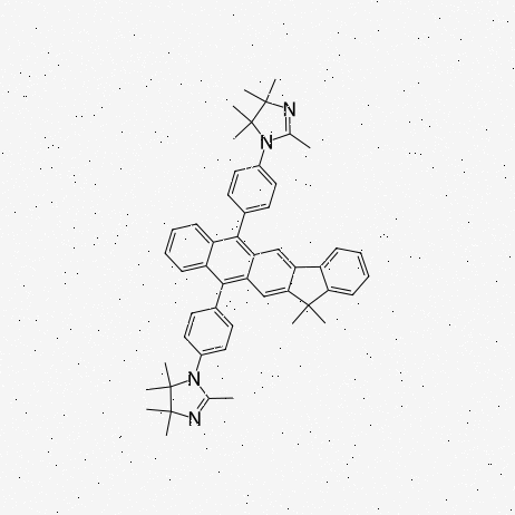 CC1=NC(C)(C)C(C)(C)N1c1ccc(-c2c3ccccc3c(-c3ccc(N4C(C)=NC(C)(C)C4(C)C)cc3)c3cc4c(cc23)-c2ccccc2C4(C)C)cc1